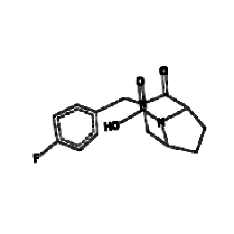 O=C1C2CCC(CN1Cc1ccc(F)cc1)N2C(=O)O